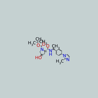 Cc1nccn1-c1ccc([C@H](C)NC(=O)[C@@H]2C[C@@H](O)CN2C(=O)OC(C)(C)C)cc1